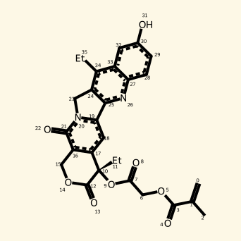 C=C(C)C(=O)OCC(=O)O[C@]1(CC)C(=O)OCc2c1cc1n(c2=O)Cc2c-1nc1ccc(O)cc1c2CC